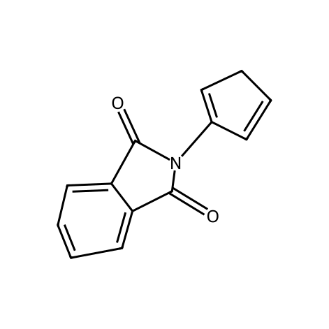 O=C1c2ccccc2C(=O)N1C1=CCC=C1